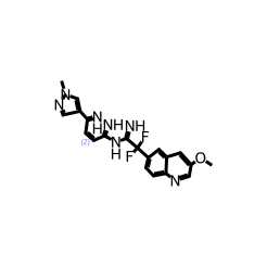 COc1cnc2ccc(C(F)(F)C(=N)NC(=N)/C=C\C(=N)c3cnn(C)c3)cc2c1